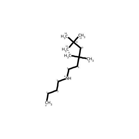 CCCCNCCC(C)(C)CC(C)(C)C